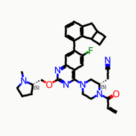 C=CC(=O)N1CCN(c2nc(OC[C@@H]3CCCN3C)nc3cc(-c4cccc5c4C4CCC4C5)c(F)cc23)C[C@@H]1CC#N